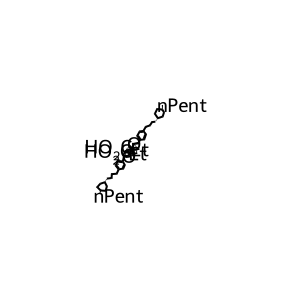 CCCCC[C@H]1CC[C@H](CCCCc2ccc(CO[C@@](CC)(C(=O)O)[C@@](CC)(OCc3ccc(CCCC[C@H]4CC[C@H](CCCCC)CC4)cc3)C(=O)O)cc2)CC1